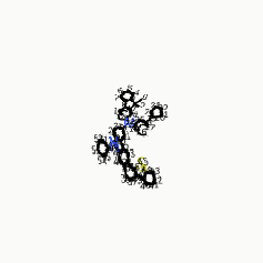 CC1(C)c2ccccc2-c2ccc(N(c3cccc(-c4ccccc4)c3)c3ccc4c(c3)c3cc5c(ccc6c7ccccc7sc56)cc3n4-c3ccccc3)cc21